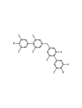 Fc1c(I)cc(-c2c(I)cc(Cc3cc(I)c(-c4cc(I)c(F)c(I)c4)c(I)c3)cc2I)cc1I